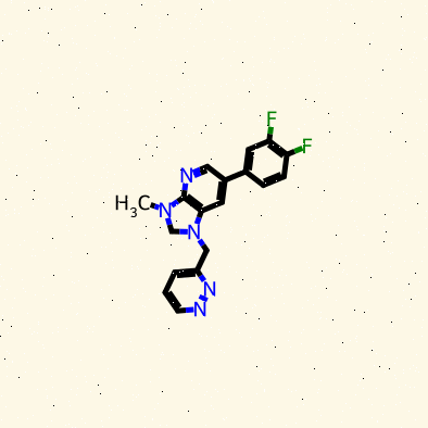 CN1CN(Cc2cccnn2)c2cc(-c3ccc(F)c(F)c3)cnc21